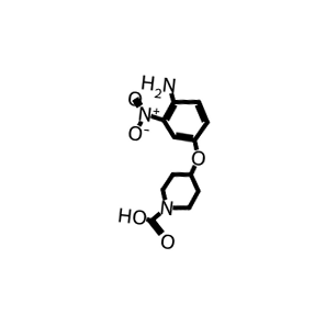 Nc1ccc(OC2CCN(C(=O)O)CC2)cc1[N+](=O)[O-]